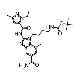 CCn1nc(C)cc1C(=O)Nc1nc2cc(C(N)=O)cc(C)c2n1CCCCNC(=O)OC(C)(C)C